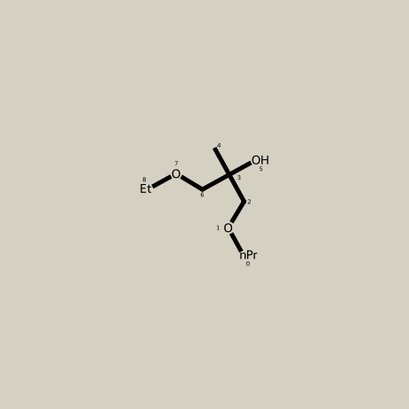 CCCOCC(C)(O)COCC